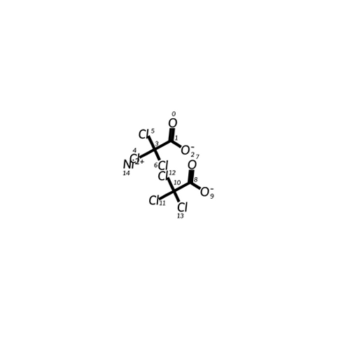 O=C([O-])C(Cl)(Cl)Cl.O=C([O-])C(Cl)(Cl)Cl.[Ni+2]